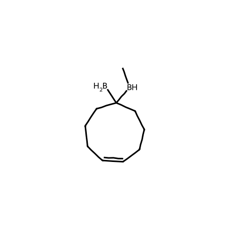 BC1(BC)CCC/C=C\CCC1